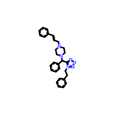 C(=C\c1ccccc1)/CN1CCN(C(c2ccccc2)c2nnnn2CCc2ccccc2)CC1